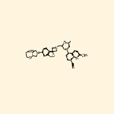 CC1CN(c2ccc(C#N)c3nc(O)ccc23)CC(CN2CC3(C2)OCc2cc(N4CC5NCCOC5C4)ccc23)O1